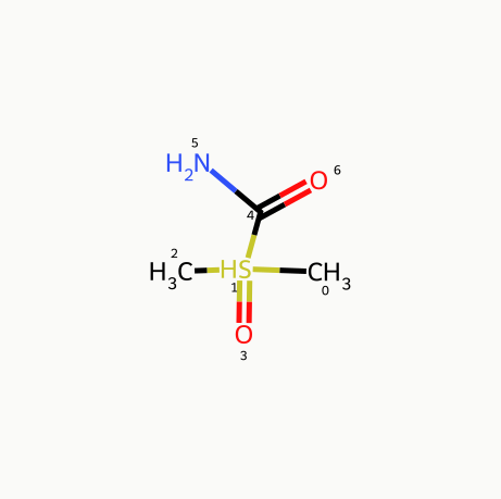 C[SH](C)(=O)C(N)=O